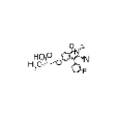 CCC(CCOc1ccc2c(=O)n(C3CC3)c(C#N)c(-c3cccc(F)c3)c2c1)C(=O)O